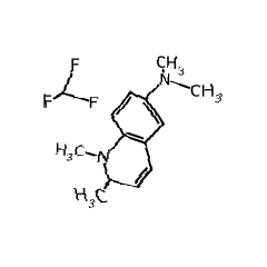 CC1C=Cc2cc(N(C)C)ccc2N1C.FC(F)F